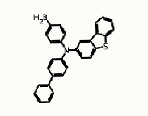 Bc1ccc(N(c2ccc(-c3ccccc3)cc2)c2ccc3sc4ccccc4c3c2)cc1